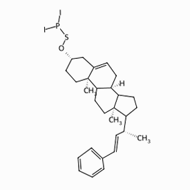 C[C@H](/C=C/c1ccccc1)C1CCC2[C@@H]3CC=C4C[C@@H](OSP(I)I)CC[C@]4(C)C3CC[C@@]21C